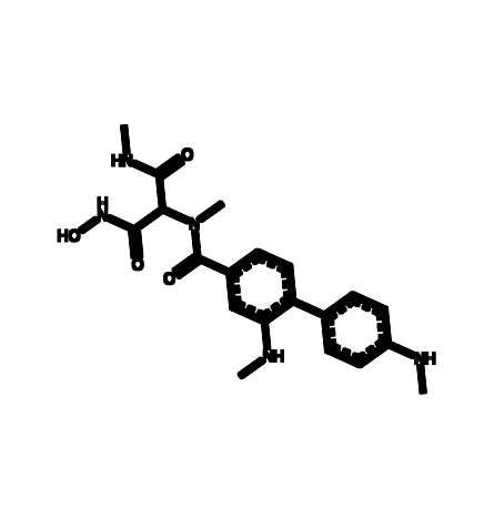 CNC(=O)C(C(=O)NO)N(C)C(=O)c1ccc(-c2ccc(NC)cc2)c(NC)c1